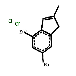 CC1=Cc2[c]([Zr+2])cc(C(C)(C)C)cc2C1.[Cl-].[Cl-]